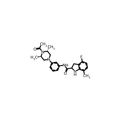 CC(=O)N1[C@H](C)CN(c2cccc(NC(=O)C3Cc4c(F)ccc(C)c4N3)c2)C[C@H]1C